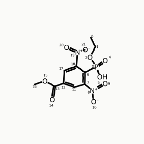 CCOP(=O)(O)c1c([N+](=O)[O-])cc(C(=O)OC)cc1[N+](=O)[O-]